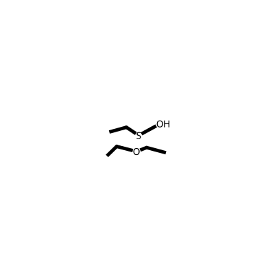 CCOCC.CCSO